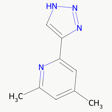 Cc1cc(C)nc(-c2c[nH]nn2)c1